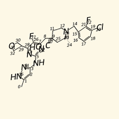 Cc1cc(Nc2nc(C[C@@]3(C(=O)O)CCN(Cc4cccc(Cl)c4F)[C@H](C)C3)c(F)c(C3COC3)n2)n[nH]1